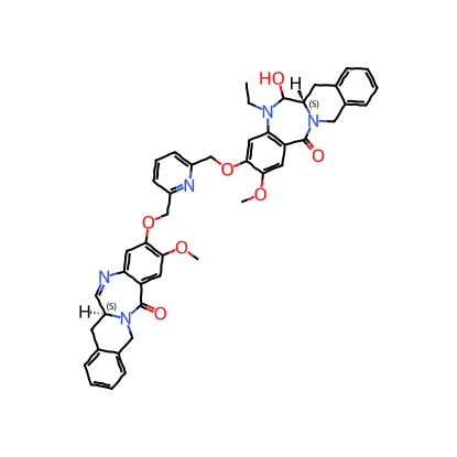 CCN1c2cc(OCc3cccc(COc4cc5c(cc4OC)C(=O)N4Cc6ccccc6C[C@H]4C=N5)n3)c(OC)cc2C(=O)N2Cc3ccccc3C[C@H]2C1O